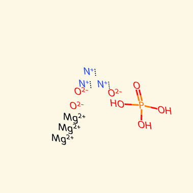 O=P(O)(O)O.[Mg+2].[Mg+2].[Mg+2].[N+].[N+].[N+].[O-2].[O-2].[O-2]